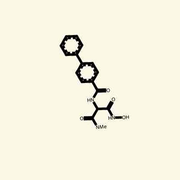 CNC(=O)C(NC(=O)c1ccc(-c2ccccc2)cc1)C(=O)NO